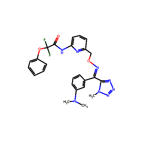 CN(C)c1cccc(/C(=N\OCc2cccc(NC(=O)C(F)(F)Oc3ccccc3)n2)c2nnnn2C)c1